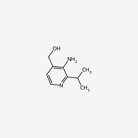 CC(C)c1nccc(CO)c1N